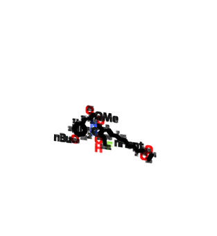 CCCCCCCC1(CCCCCCC=C[C@H](C(=O)N[C@@H](Cc2ccc(OCCCC)cc2)C(=O)OC)[C@@](O)(CCF)C(=O)O)OCCO1